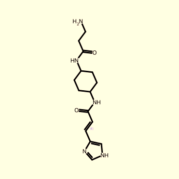 NCCC(=O)NC1CCC(NC(=O)/C=C/c2c[nH]cn2)CC1